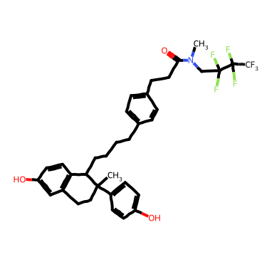 CN(CC(F)(F)C(F)(F)C(F)(F)F)C(=O)CCc1ccc(CCCCC2c3ccc(O)cc3CCC2(C)c2ccc(O)cc2)cc1